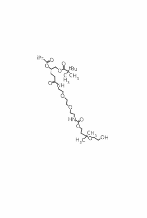 CC(C)C(=O)O[C@@H](CCC(=O)NCCOCCOCCNC(=O)OCCC(C)(C)OCCO)COC(=O)C(C)(C)C(C)(C)C